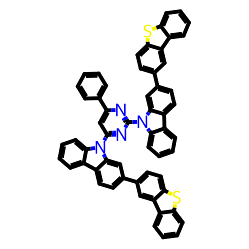 c1ccc(-c2cc(-n3c4ccccc4c4ccc(-c5ccc6sc7ccccc7c6c5)cc43)nc(-n3c4ccccc4c4ccc(-c5ccc6sc7ccccc7c6c5)cc43)n2)cc1